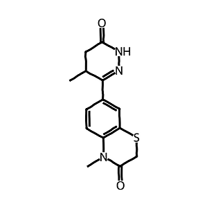 CC1CC(=O)NN=C1c1ccc2c(c1)SCC(=O)N2C